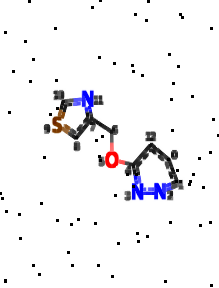 c1cnnc(OCc2cscn2)c1